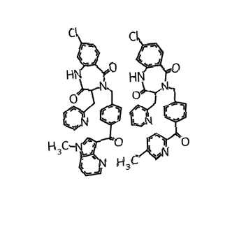 Cc1ccc(C(=O)c2ccc(CN3C(=O)c4ccc(Cl)cc4NC(=O)C3Cc3ccccn3)cc2)nc1.Cn1cc(C(=O)c2ccc(CN3C(=O)c4ccc(Cl)cc4NC(=O)C3Cc3ccccn3)cc2)c2ncccc21